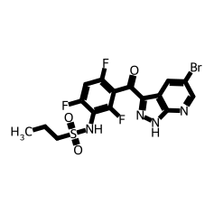 CCCS(=O)(=O)Nc1c(F)cc(F)c(C(=O)c2n[nH]c3ncc(Br)cc23)c1F